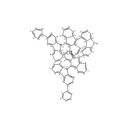 c1ccc(-c2ccc3c(c2)c2ccccc2n3-c2c3ccccc3c(-c3ccc4oc5cccc(-c6c7ccccc7c(-n7c8ccccc8c8cc(-c9ccccc9)ccc87)c7ccccc67)c5c4c3)c3ccccc23)cc1